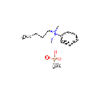 CCCCCCCCCCCCC[N+](C)(C)c1ccccc1.COS(=O)(=O)[O-]